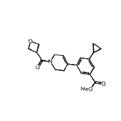 COC(=O)c1cc(C2=CCN(C(=O)C3COC3)CC2)cc(C2CC2)c1